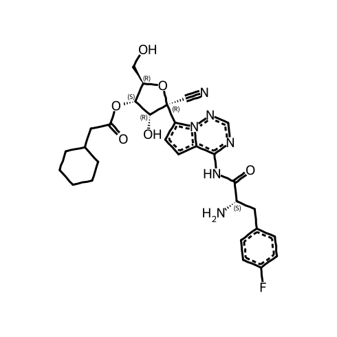 N#C[C@@]1(c2ccc3c(NC(=O)[C@@H](N)Cc4ccc(F)cc4)ncnn23)O[C@H](CO)[C@@H](OC(=O)CC2CCCCC2)[C@H]1O